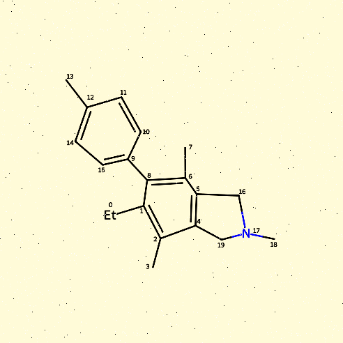 CCc1c(C)c2c(c(C)c1-c1ccc(C)cc1)CN(C)C2